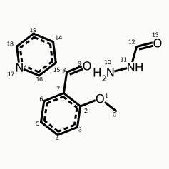 COc1ccccc1C=O.NNC=O.c1ccncc1